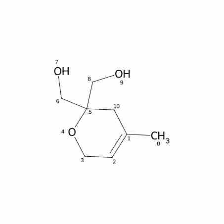 CC1=CCOC(CO)(CO)C1